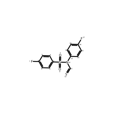 O=S(=O)(c1ccc(F)cc1)N(C=S)c1ccc(F)cc1